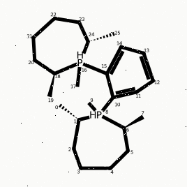 C[C@H]1CCCC[C@H](C)[PH]1(C)c1ccccc1[PH]1(C)[C@@H](C)CCCC[C@@H]1C